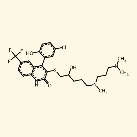 CN(C)CCCN(C)CCCC(O)CSc1c(-c2cc(Cl)ccc2O)c2cc(C(F)(F)F)ccc2[nH]c1=O